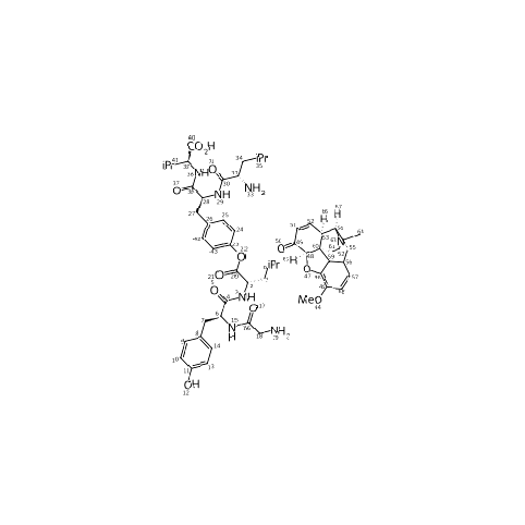 CC(C)C[C@H](NC(=O)[C@H](Cc1ccc(O)cc1)NC(=O)CN)C(=O)Oc1ccc(C[C@H](NC(=O)[C@@H](N)CC(C)C)C(=O)N[C@H](C(=O)O)C(C)C)cc1.COC1=C2O[C@H]3C(=O)C=C[C@H]4[C@H]5CC(C=C1)C2[C@@]34CCN5C